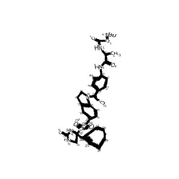 CC(NC(=O)OC(C)(C)C)C(=O)Nc1ccc(C(=O)N2CCc3cc(S(=O)(=O)C4(c5ccccc5)CNC(=O)N4)ccc32)cc1